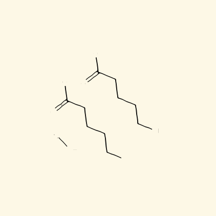 CCCCCC(=O)[O-].CCCCCC(=O)[O-].[CH3][Al+2]